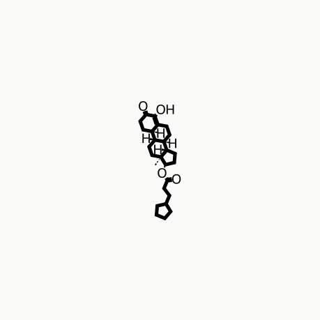 C[C@]12CC[C@H]3[C@@H](CCC4=C(O)C(=O)CC[C@@H]43)[C@@H]1CC[C@@H]2OC(=O)CCC1CCCC1